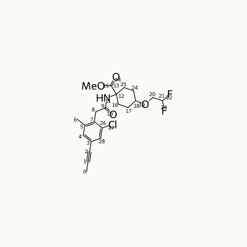 CC#Cc1cc(C)c(CC(=O)NC2(C(=O)OC)CCC(OCC(F)F)CC2)c(Cl)c1